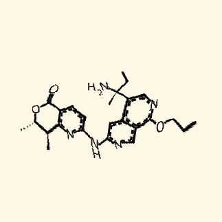 CCCOc1ncc([C@](C)(N)CC)c2cc(Nc3ccc4c(n3)[C@@H](C)[C@H](C)OC4=O)ncc12